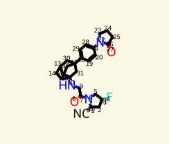 N#C[C@@H]1C[C@H](F)CN1C(=O)CNC12CC3CC1CC(c1ccc(N4CCCC4=O)cc1)(C3)C2